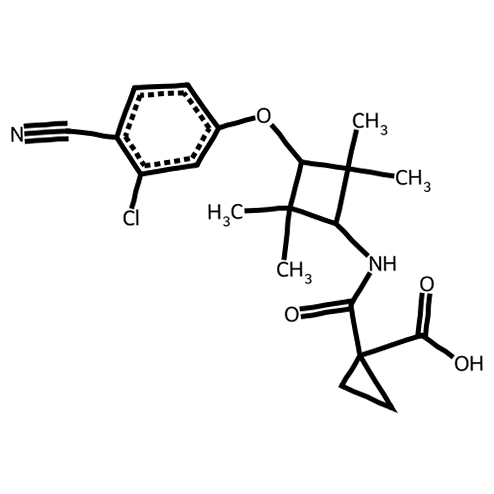 CC1(C)C(NC(=O)C2(C(=O)O)CC2)C(C)(C)C1Oc1ccc(C#N)c(Cl)c1